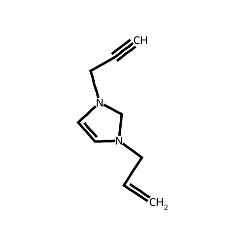 C#CCN1C=CN(CC=C)C1